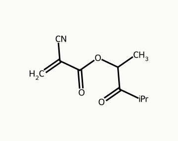 C=C(C#N)C(=O)OC(C)C(=O)C(C)C